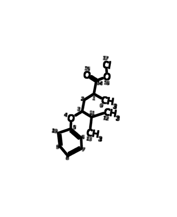 CC(CC(Oc1ccccc1)C(C)C)C(=O)OCl